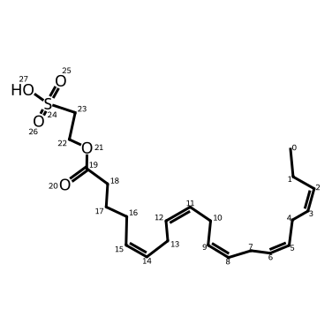 CC/C=C\C/C=C\C/C=C\C/C=C\C/C=C\CCCC(=O)OCCS(=O)(=O)O